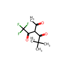 CC(=O)C(C(=O)C(C)(C)C)C(=O)C(F)(F)F